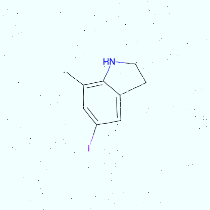 [CH2]c1cc(I)cc2c1NCC2